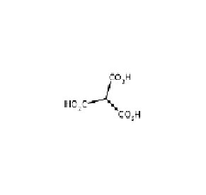 O=C(O)C(C(=O)O)C(=O)O